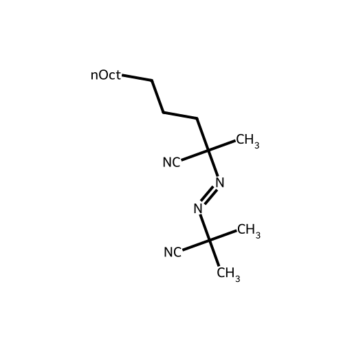 CCCCCCCCCCCC(C)(C#N)N=NC(C)(C)C#N